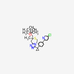 CC1(CO[Si](C)(C)C(C)(C)C)Cc2nnc(C3(c4ccc(-c5ccc(Cl)cn5)cc4)CC3)n2CCS1